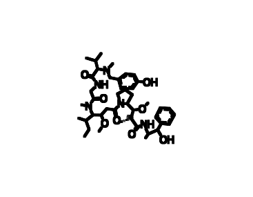 CCC(C)C(C(CC(=O)N1CCCC1C(OC)[C@@H](C)C(=O)NC(C)C(O)c1ccccc1)OC)N(C)C(=O)CNC(=O)C(C(C)C)N(C)Cc1ccc(O)cc1